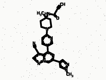 C#CC(=O)NC1(C)CCN(c2ccc(-c3cc(-c4cnn(C)c4)cn4ncc(C#N)c34)cn2)CC1